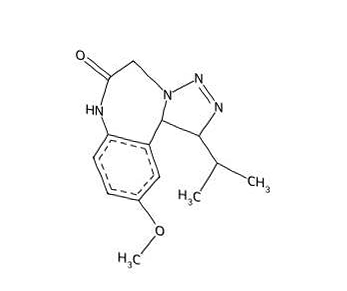 COc1ccc2c(c1)C1C(C(C)C)N=NN1CC(=O)N2